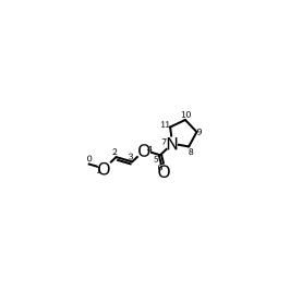 CO/C=C/OC(=O)N1CCCC1